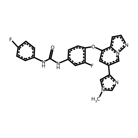 Cn1cnc(-c2cc(Oc3ccc(NC(=O)Nc4ccc(F)cc4)cc3F)c3ccnn3c2)c1